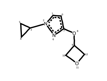 c1cn(C2CC2)nc1OC1COC1